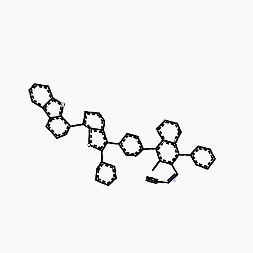 C#C/C=C\c1c(C)c(-c2ccc(-c3c(-c4ccccc4)oc4c(-c5cccc6c5oc5ccccc56)cccc34)cc2)c2ccccc2c1-c1ccccc1